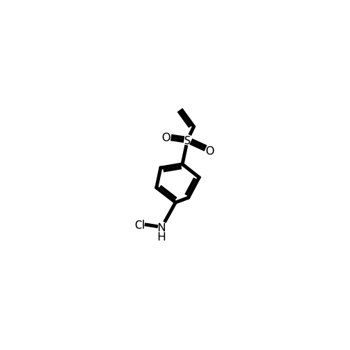 C=CS(=O)(=O)c1ccc(NCl)cc1